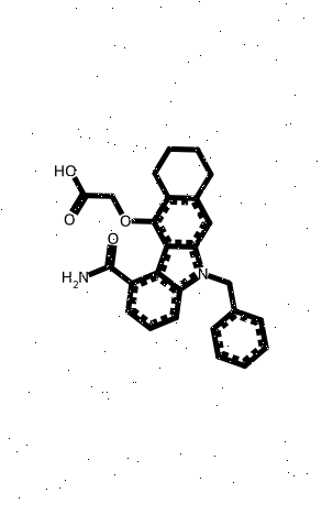 NC(=O)c1cccc2c1c1c(OCC(=O)O)c3c(cc1n2Cc1ccccc1)CCCC3